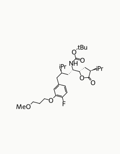 COCCCOc1cc(C[C@H](C[C@H](NC(=O)OC(C)(C)C)[C@@H]2C[C@@H](C(C)C)C(=O)O2)C(C)C)ccc1F